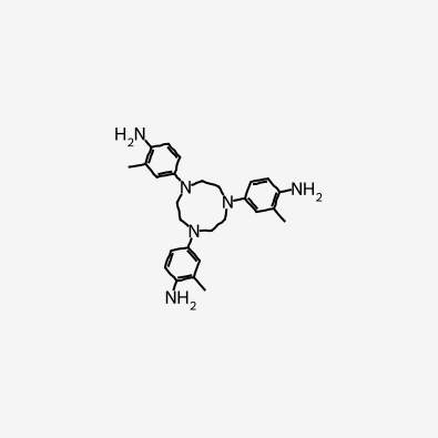 Cc1cc(N2CCN(c3ccc(N)c(C)c3)CCN(c3ccc(N)c(C)c3)CC2)ccc1N